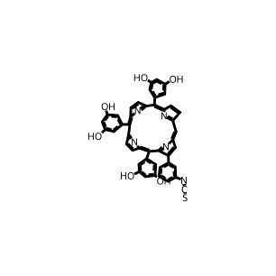 Oc1cc(O)cc(C2=C3C=CC(=N3)C=C3C=C(c4cccc(N=C=S)c4)C(=N3)C(c3cc(O)cc(O)c3)=C3C=CC(=N3)C(c3cc(O)cc(O)c3)=C3C=CC2=N3)c1